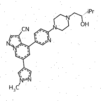 CC(C)[C@H](O)CN1CCN(c2ccc(-c3cc(-c4cnn(C)c4)cn4ncc(C#N)c34)cn2)CC1